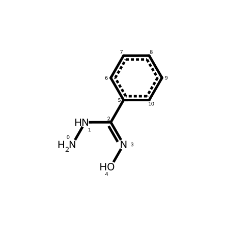 NNC(=NO)c1ccccc1